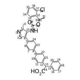 Cc1nsc(-c2ccc(-c3ccc(C(C(=O)O)c4ccccc4)cc3)cc2)c1NC(=O)O[C@H](C)c1ccccc1Cl